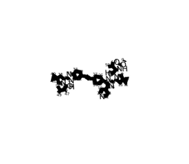 COC(=O)N[C@H](C(=O)N1CC2(CC2)C[C@H]1c1nc(-c2ccncc2)c(-c2ccc(C#Cc3ccc4nc([C@@H]5CC6(CC6)CN5C(=O)[C@@H](C)C(C)C)[nH]c4c3)cc2)[nH]1)C(C)C